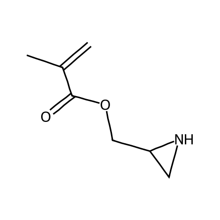 C=C(C)C(=O)OCC1CN1